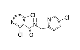 O=C(NCc1ccc(Cl)cn1)c1c(Cl)ccnc1Cl